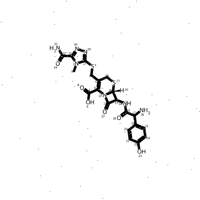 Cn1c(SCC2=C(C(=O)O)N3C(=O)C(NC(=O)C(N)c4ccc(O)cc4)[C@H]3SC2)nnc1C(N)=O